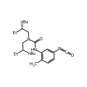 CCCCC(CC)CN(CC(CC)CCCC)C(=O)Nc1cc(N=C=O)ccc1C